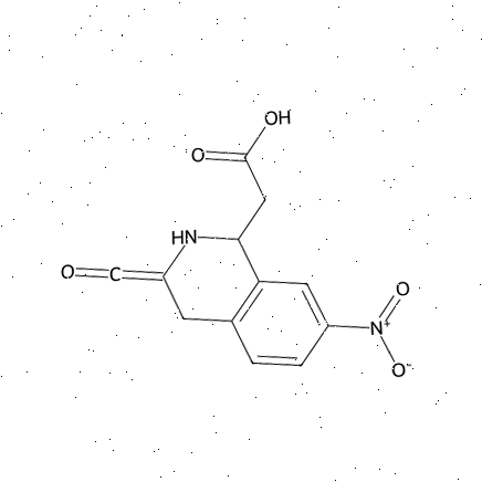 O=C=C1Cc2ccc([N+](=O)[O-])cc2C(CC(=O)O)N1